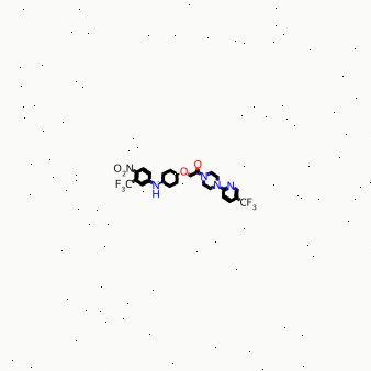 O=C(CO[C@H]1CC[C@H](Nc2ccc([N+](=O)[O-])c(C(F)(F)F)c2)CC1)N1CCN(c2ccc(C(F)(F)F)cn2)CC1